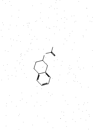 N=C(N)NC1CCc2ccccc2C1